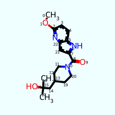 COc1ccc2[nH]c(C(=O)N3CCC(CC(C)(C)O)CC3)cc2n1